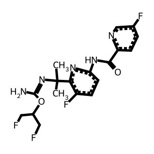 CC(C)(/N=C(/N)OC(CF)CF)c1nc(NC(=O)c2ccc(F)cn2)ccc1F